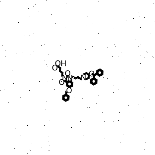 O=C(O)CCCCn1c(=O)c2cc(OCc3ccccc3)ccc2n(CCCCN2CCC(OC(c3ccccc3)c3ccccc3)CC2)c1=O